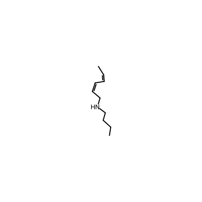 C/C=C\C=C/CNCCCC